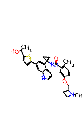 Cc1ccc(OC[C@@H]2CCN2C)cc1C(=O)NC1(c2cc(-c3ccc(C(C)O)s3)cc3ncccc23)CC1